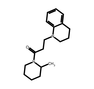 CC1CCCCN1C(=O)CCN1CCCc2ccccc21